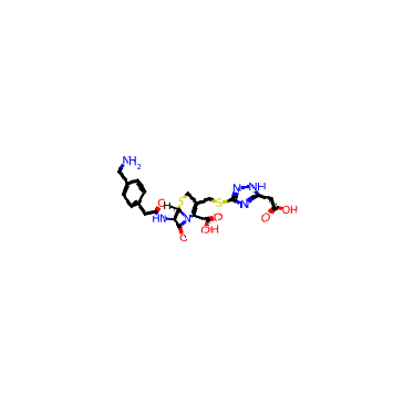 NCc1ccc(CC(=O)NC2C(=O)N3C(C(=O)O)=C(CSc4n[nH]c(CC(=O)O)n4)CS[C@@H]23)cc1